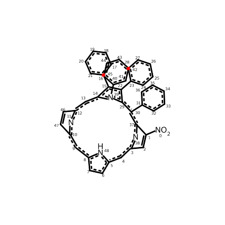 O=[N+]([O-])C1=Cc2cc3ccc(cc4nc(cc5c(-c6ccccc6)c(-c6ccccc6)c(c(-c6ccccc6)c1n2)n5-c1ccccc1)C=C4)[nH]3